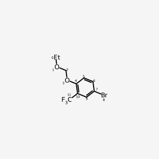 CCOCOc1ccc(Br)cc1C(F)(F)F